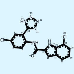 O=C(Nc1ccc(Cl)cc1-c1nnn[nH]1)c1cc2cccc(Cl)c2[nH]1